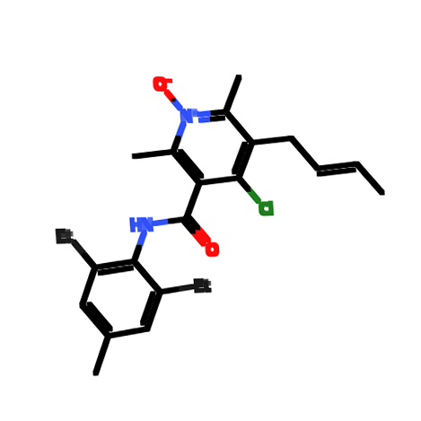 C/C=C/Cc1c(Cl)c(C(=O)Nc2c(CC)cc(C)cc2CC)c(C)[n+]([O-])c1C